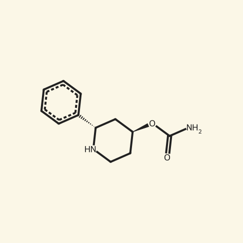 NC(=O)O[C@H]1CCN[C@H](c2ccccc2)C1